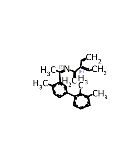 C=C/C(=C\C)C(=C)/N=C(/C)c1cc(-c2cccc(C)c2C)ccc1C